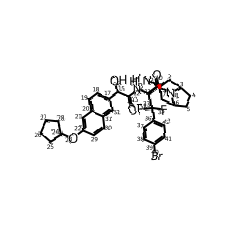 NC1CC2CCC(C1)N2C(=O)C(NC(=O)C(O)c1ccc2cc(OC3CCCC3)ccc2c1)C(F)(F)c1ccc(Br)cc1